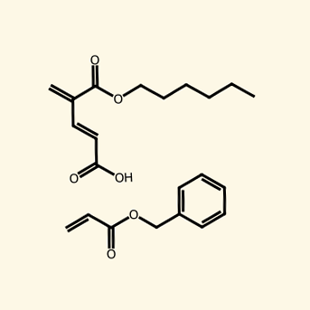 C=C(C=CC(=O)O)C(=O)OCCCCCC.C=CC(=O)OCc1ccccc1